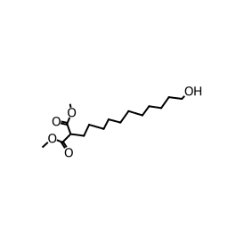 COC(=O)C(CCCCCCCCCCCO)C(=O)OC